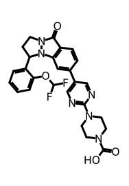 O=C(O)N1CCN(c2ncc(-c3ccc4c(=O)n5n(c4c3)C(c3ccccc3OC(F)F)CC5)cn2)CC1